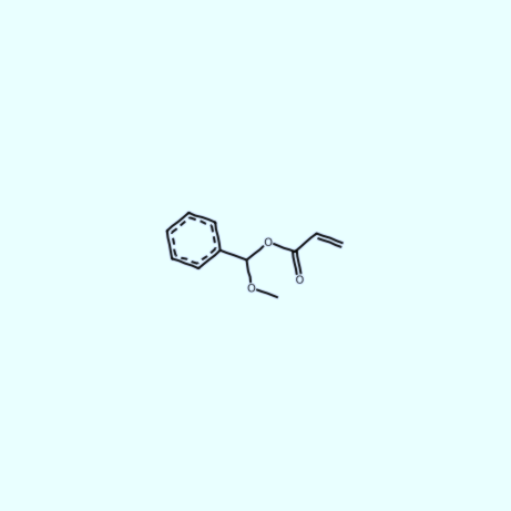 C=CC(=O)OC(OC)c1ccccc1